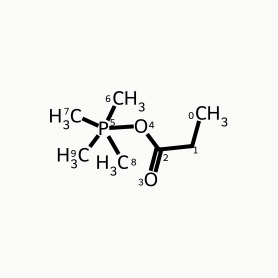 CCC(=O)OP(C)(C)(C)C